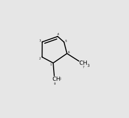 [CH]C1CC=CCC1C